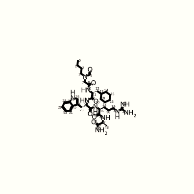 CCCCN(C=O)CC(=O)N[C@H](CC1CCCCC1)C(=O)N[C@@H](Cc1c[nH]c2ccccc12)C(=O)N[C@@H](CCCNC(=N)N)C(=O)N[C@@H](C)C(N)=O